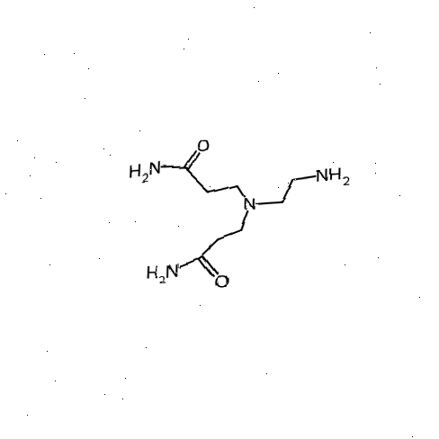 NCCN(CCC(N)=O)CCC(N)=O